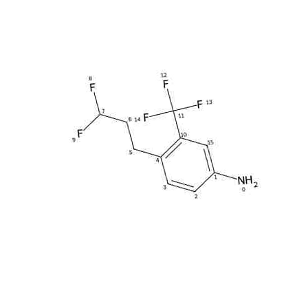 Nc1ccc(CCC(F)F)c(C(F)(F)F)c1